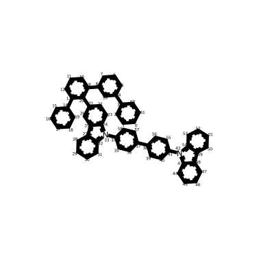 c1ccc(-c2cccc(-c3cccc(-c4ccccc4)c3-c3ccc4c(c3)c3ccccc3n4-c3ccc(-c4ccc(-n5c6ccccc6c6ccccc65)cc4)cc3)c2)cc1